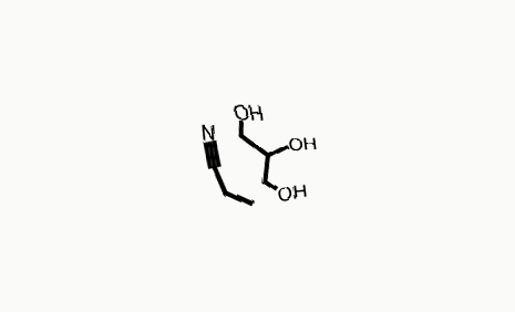 CCC#N.OCC(O)CO